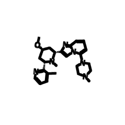 CO[C@H]1C[C@H](c2cn3c(N4CCN(C)CC4)cccc3n2)N(C)[C@H](c2ncccc2C)C1